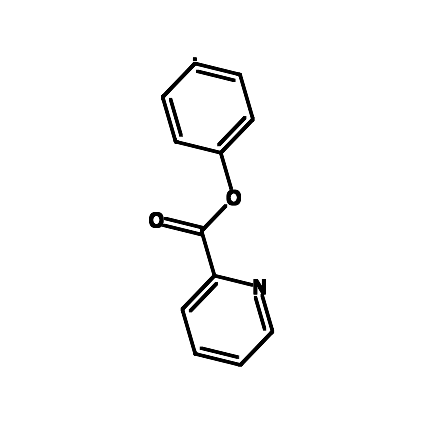 O=C(Oc1cc[c]cc1)c1ccccn1